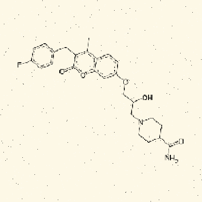 Cc1c(Cc2ccc(F)cc2)c(=O)oc2cc(OCC(O)CN3CCC(C(N)=O)CC3)ccc12